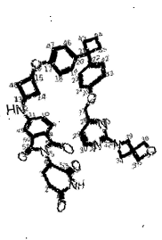 O=C1CCC(N2C(=O)c3ccc(NC4CC(Oc5ccc(C6(c7ccc(OCc8ccnc(N9CC%10(COC%10)C9)n8)cc7)CCC6)cc5)C4)cc3C2=O)C(=O)N1